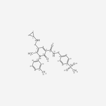 Cc1c(CNC2CC2)cc(C(=O)NCc2ccc(S(C)(=O)=O)cc2)c(=O)n1-c1cccc(C(F)(F)F)c1